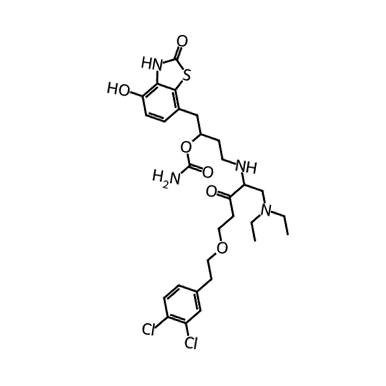 CCN(CC)CC(NCCC(Cc1ccc(O)c2[nH]c(=O)sc12)OC(N)=O)C(=O)CCOCCc1ccc(Cl)c(Cl)c1